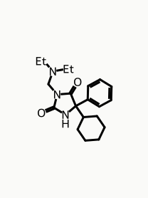 CCN(CC)CN1C(=O)NC(c2ccccc2)(C2CCCCC2)C1=O